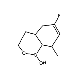 CC1C=C(F)CC2CCOB(O)C12